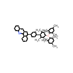 Cc1cc(C)c(B(c2c(C)cc(C)cc2C)c2c(C)c(C)c(-c3ccc(-c4cc5cc6ccccc6nc5c5ccccc45)cc3)c(C)c2C)c(C)c1